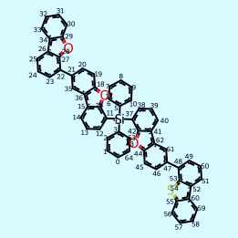 c1ccc([Si](c2ccccc2)(c2cccc3c2oc2ccc(-c4cccc5c4oc4ccccc45)cc23)c2cccc3c2oc2ccc(-c4cccc5c4sc4ccccc45)cc23)cc1